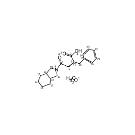 O.O.O=C(O)[C@H](CC(=O)N1CC2CCCCC2C1)Cc1ccccc1